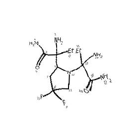 CCC(N)(C(N)=O)C1CC(F)(F)CN1C(N)(CC)C(N)=O